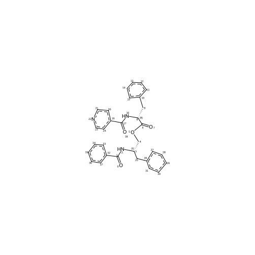 O=C(N[C@H](COC(=O)[C@@H](Cc1ccccc1)NC(=O)c1ccncc1)Cc1ccccc1)c1ccccc1